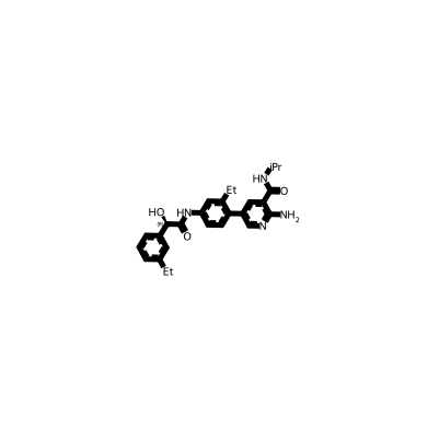 CCc1cccc([C@@H](O)C(=O)Nc2ccc(-c3cnc(N)c(C(=O)NC(C)C)c3)c(CC)c2)c1